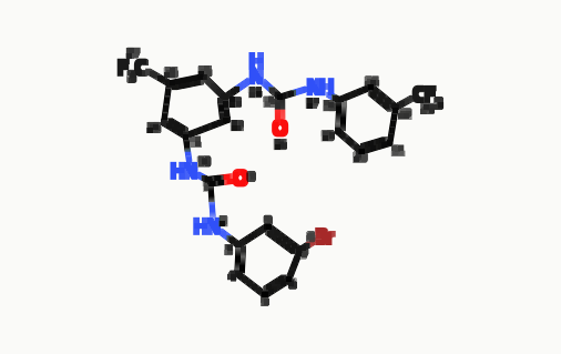 O=C(Nc1cccc(Br)c1)Nc1cc(NC(=O)Nc2cccc(C(F)(F)F)c2)cc(C(F)(F)F)c1